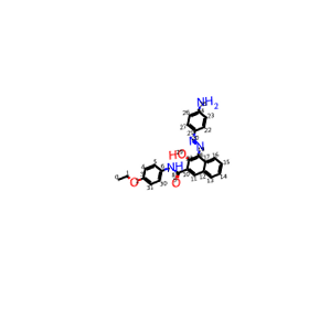 CCOc1ccc(NC(=O)c2cc3ccccc3c(N=Nc3ccc(N)cc3)c2O)cc1